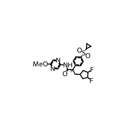 COc1cnc(NC(=O)[C@H](CC2CC(F)C(F)C2)c2ccc(S(=O)(=O)C3CC3)cc2)cn1